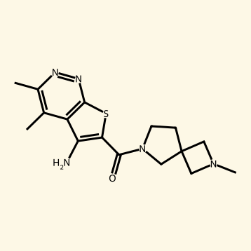 Cc1nnc2sc(C(=O)N3CCC4(CN(C)C4)C3)c(N)c2c1C